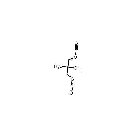 CC(C)(CN=C=O)COC#N